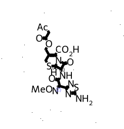 CO/N=C(\C(=O)N[C@@H]1C(=O)N2C(C(=O)O)=C(COC(=O)CC(C)=O)CS[C@@H]12)c1nsc(N)n1